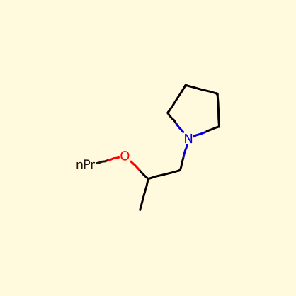 CCCOC(C)CN1CCCC1